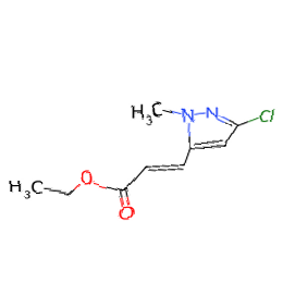 CCOC(=O)/C=C/c1cc(Cl)nn1C